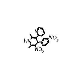 CC1=C(c2ccccn2)C(c2cccc([N+](=O)[O-])c2)C([N+](=O)[O-])=C(C)N1